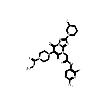 CCc1c(N2CCN(C(=O)OC(C)(C)C)CC2)c(=O)n2nc(N3CCCC(F)C3)nc2n1CC(=O)Nc1ccc(C(F)(F)F)nc1Cl